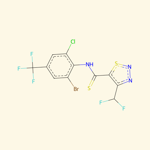 FC(F)c1nnsc1C(=S)Nc1c(Cl)cc(C(F)(F)F)cc1Br